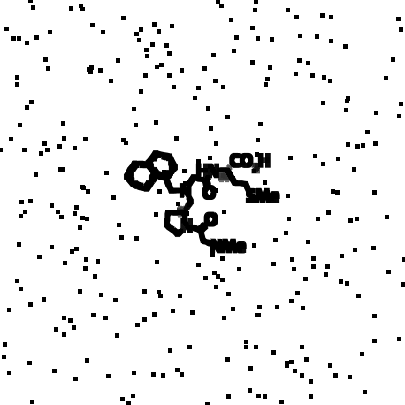 CNCC(=O)N1CCC[C@H]1CN(CC(=O)N[C@@H](CCSC)C(=O)O)Cc1cccc2ccccc12